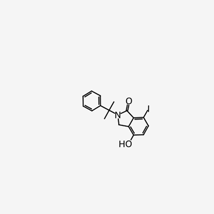 CC(C)(c1ccccc1)N1Cc2c(O)ccc(I)c2C1=O